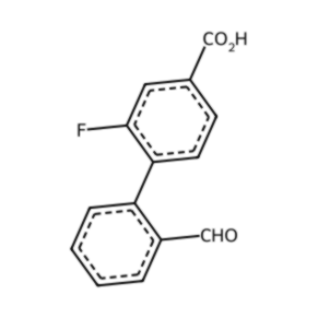 O=Cc1ccccc1-c1ccc(C(=O)O)cc1F